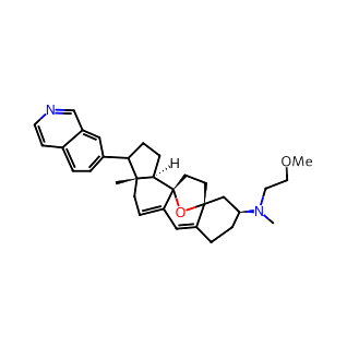 COCCN(C)[C@H]1CCC2=CC3=CC[C@]4(C)C(c5ccc6ccncc6c5)CC[C@H]4[C@@]34CC[C@]2(C1)O4